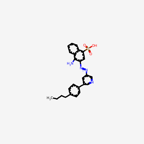 CCCCc1ccc(-c2cncc(/N=N/c3cc(S(=O)(=O)O)c4ccccc4c3N)c2)cc1